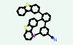 N#Cc1cc(C#N)cc(-c2cccc(-c3ccc4sc5ccccc5c4c3)c2-c2ccc3sc4ccccc4c3c2)c1